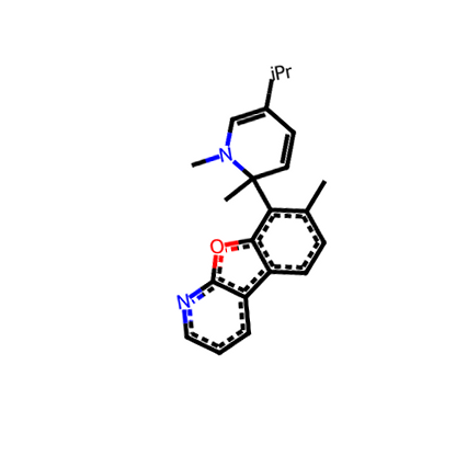 Cc1ccc2c(oc3ncccc32)c1C1(C)C=CC(C(C)C)=CN1C